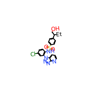 CCC(CO)c1ccc(S(=O)(=O)Nc2ccc(Cl)cc2-n2nnc3ncccc32)cc1